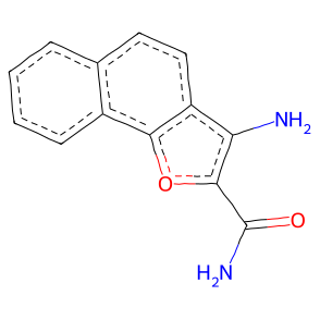 NC(=O)c1oc2c(ccc3ccccc32)c1N